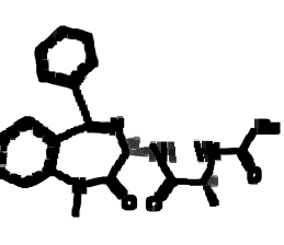 CCC(C)C(=O)N[C@@H](C)C(=O)N[C@H]1N=C(c2ccccc2)c2ccccc2N(C)C1=O